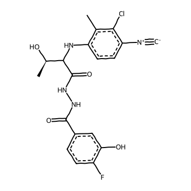 [C-]#[N+]c1ccc(NC(C(=O)NNC(=O)c2ccc(F)c(O)c2)[C@@H](C)O)c(C)c1Cl